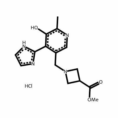 COC(=O)C1CN(Cc2cnc(C)c(O)c2-c2ncc[nH]2)C1.Cl